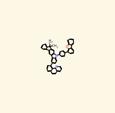 CC1(C)c2ccccc2-c2cc3c4cc(-c5cccc6ccc7cccnc7c56)ccc4n(-c4ccc(-c5cccc6c5oc5ccccc56)cc4)c3cc21